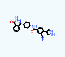 N#Cc1cc(C(=O)N[C@H]2CC[C@H](c3n[nH]c(=O)c4ccccc43)CC2)ccc1-c1cn[nH]c1